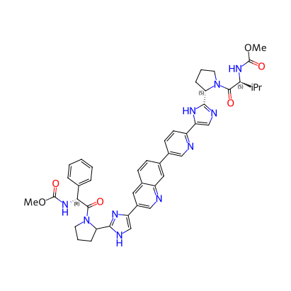 COC(=O)N[C@H](C(=O)N1CCC[C@H]1c1ncc(-c2ccc(-c3ccc4cc(-c5c[nH]c(C6CCCN6C(=O)[C@H](NC(=O)OC)c6ccccc6)n5)cnc4c3)cn2)[nH]1)C(C)C